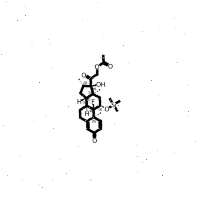 CC(=O)OCC(=O)[C@@]1(O)[C@@H](C)C[C@H]2[C@@H]3CCC4=CC(=O)C=C[C@]4(C)[C@@]3(F)[C@@H](O[Si](C)(C)C)C[C@@]21C